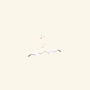 C=CCNCCCNCC=C.O=P(O)(O)O.O=P(O)(O)O